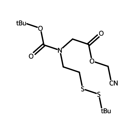 CC(C)(C)OC(=O)N(CCSSC(C)(C)C)CC(=O)OCC#N